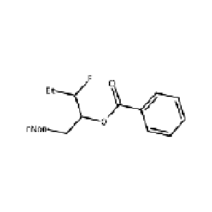 CCCCCCCCCCC(OC(=O)c1ccccc1)C(F)CC